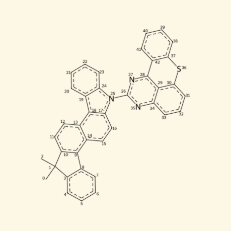 CC1(C)c2ccccc2-c2c1ccc1c2ccc2c1c1ccccc1n2-c1nc2c3c(cccc3n1)Sc1ccccc1-2